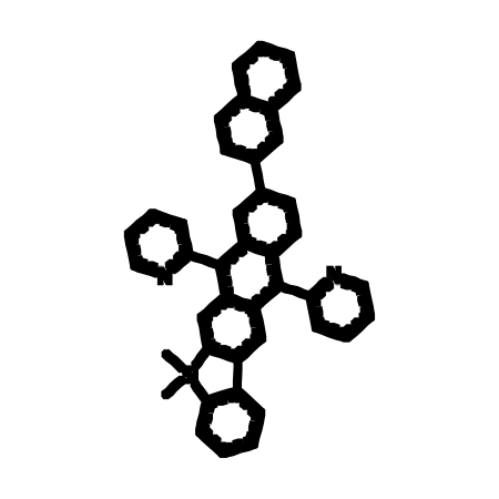 C[Si]1(C)c2ccccc2-c2cc3c(-c4ccccn4)c4ccc(-c5ccc6ccccc6c5)cc4c(-c4ccccn4)c3cc21